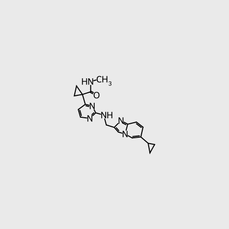 CNC(=O)C1(c2ccnc(NCc3cn4cc(C5CC5)ccc4n3)n2)CC1